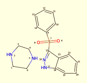 C1CNCCN1.O=S(=O)(c1ccccc1)c1n[nH]c2ccccc12